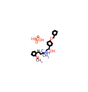 COc1ccccc1CCC(C)(C)NCC(O)c1ccc(OCc2ccccc2)cc1.O=S(=O)(O)O